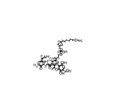 CCCCCCCCCCCCCCCC1OC[C@H](COP(=O)(O)OCCNC(=O)[C@H](C)N(CC(C)O[C@H]2[C@H](O)[C@@H](CO)O[C@H](O)[C@@H]2NC(C)=O)C(=O)CC[C@@H](NC(=O)[C@H](C)N)C(N)=O)O1